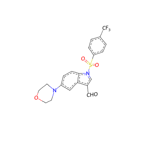 O=Cc1cn(S(=O)(=O)c2ccc(C(F)(F)F)cc2)c2ccc(N3CCOCC3)cc12